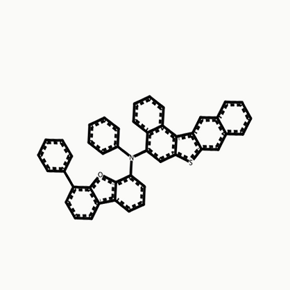 c1ccc(-c2cccc3c2oc2c(N(c4ccccc4)c4cc5sc6cc7ccccc7cc6c5c5ccccc45)cccc23)cc1